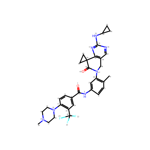 Cc1ccc(NC(=O)c2ccc(N3CCN(C)CC3)c(C(F)(F)F)c2)cc1N1Cc2cnc(NC3CC3)nc2C2(CC2)C1=O